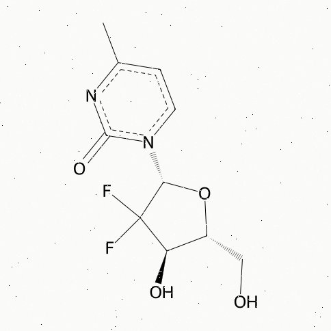 Cc1ccn([C@@H]2O[C@H](CO)[C@@H](O)C2(F)F)c(=O)n1